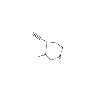 C#CC1CCSCC1C